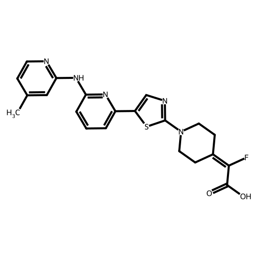 Cc1ccnc(Nc2cccc(-c3cnc(N4CCC(=C(F)C(=O)O)CC4)s3)n2)c1